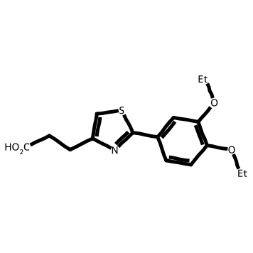 CCOc1ccc(-c2nc(CCC(=O)O)cs2)cc1OCC